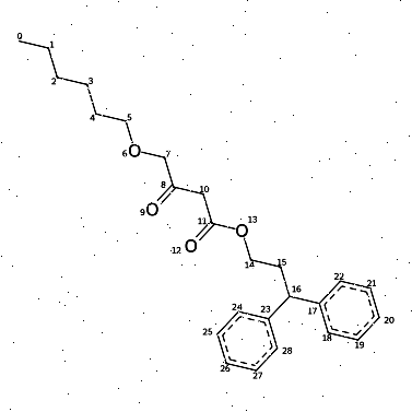 CCCCCCOCC(=O)CC(=O)OCCC(c1ccccc1)c1ccccc1